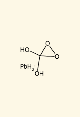 OC1(O)OO1.[PbH2]